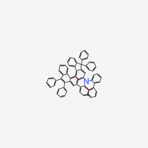 c1ccc(-c2ccccc2N(c2ccc3c(c2)C(c2ccccc2)(c2ccccc2)c2ccccc2-3)c2ccccc2-c2ccc3c(c2)c(-c2ccccc2)c(-c2ccccc2)c2ccccc23)cc1